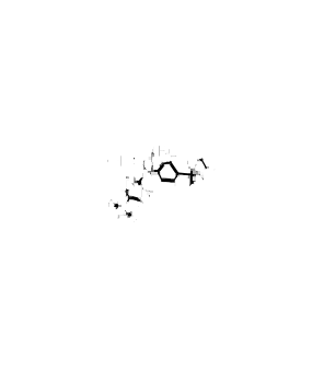 CC(C)(C)OC=O.CS(=O)(=O)c1cnc(Nc2ccc(C34CN3CCO4)cc2)nc1